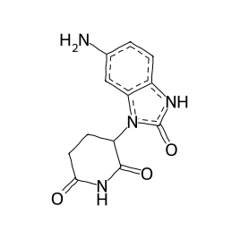 Nc1ccc2[nH]c(=O)n(C3CCC(=O)NC3=O)c2c1